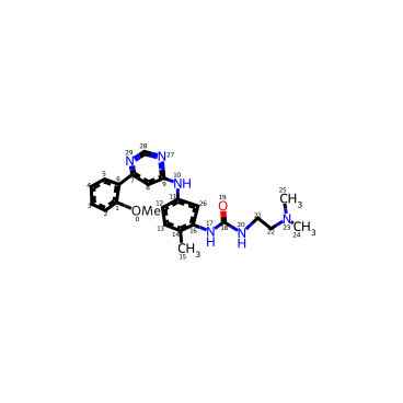 COc1ccccc1-c1cc(Nc2ccc(C)c(NC(=O)NCCN(C)C)c2)ncn1